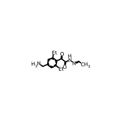 CC=NNC(=O)C(=O)c1c(CC)cc(CN)cc1CC